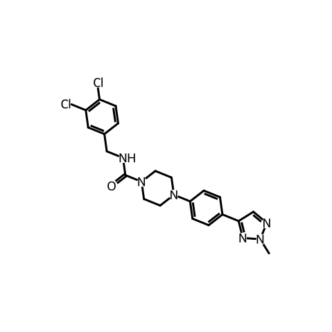 Cn1ncc(-c2ccc(N3CCN(C(=O)NCc4ccc(Cl)c(Cl)c4)CC3)cc2)n1